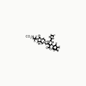 COC(=O)C1=C(CN2CCN3C(=O)N(C(C)(C)CC(=O)O)C[C@@H]3C2)NC(c2nccs2)=N[C@H]1c1ccc(F)c(F)c1C